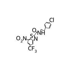 O=C(NCCc1ccc(Cl)cc1)c1nc2cc(C(F)(F)F)cc([N+](=O)[O-])c2s1